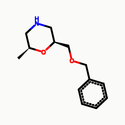 C[C@@H]1CNC[C@@H](COCc2ccccc2)O1